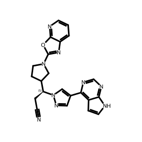 N#CC[C@@H](C1CCN(c2nc3cccnc3o2)C1)n1cc(-c2ncnc3[nH]ccc23)cn1